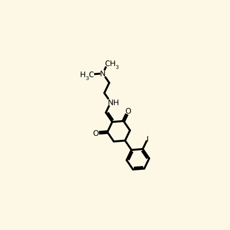 CN(C)CCNC=C1C(=O)CC(c2ccccc2I)CC1=O